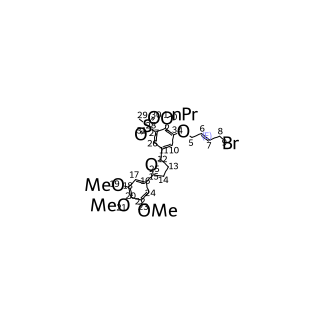 CCCOc1c(OC/C=C/CBr)cc(C2CCC(c3cc(OC)c(OC)c(OC)c3)O2)cc1S(C)(=O)=O